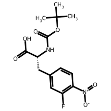 CC(C)(C)OC(=O)N[C@H](Cc1ccc([N+](=O)[O-])c(F)c1)C(=O)O